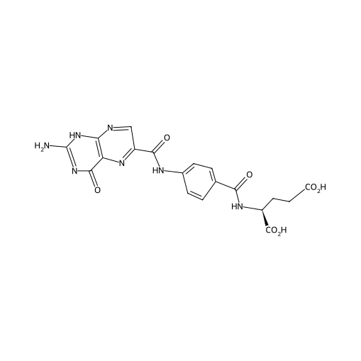 Nc1nc(=O)c2nc(C(=O)Nc3ccc(C(=O)N[C@@H](CCC(=O)O)C(=O)O)cc3)cnc2[nH]1